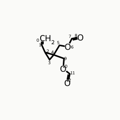 C=CC1CC1(COC=O)COC=O